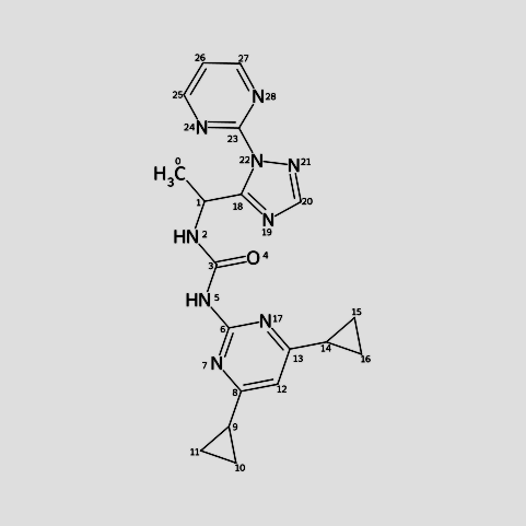 CC(NC(=O)Nc1nc(C2CC2)cc(C2CC2)n1)c1ncnn1-c1ncccn1